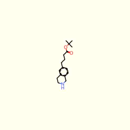 CC(C)(C)OC(=O)CCCc1ccc2c(c1)CCNC2